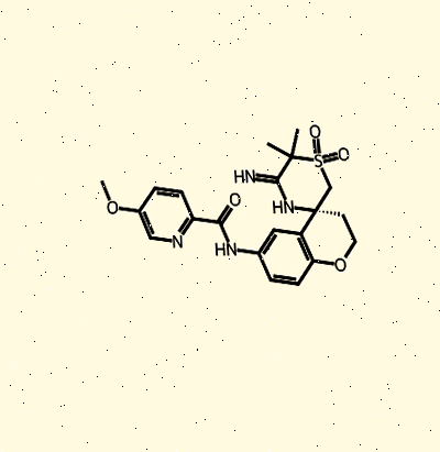 COc1ccc(C(=O)Nc2ccc3c(c2)[C@]2(CCO3)CS(=O)(=O)C(C)(C)C(=N)N2)nc1